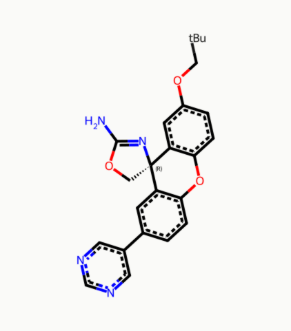 CC(C)(C)COc1ccc2c(c1)[C@@]1(COC(N)=N1)c1cc(-c3cncnc3)ccc1O2